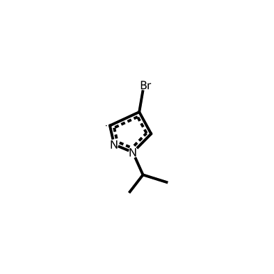 CC(C)n1cc(Br)[c]n1